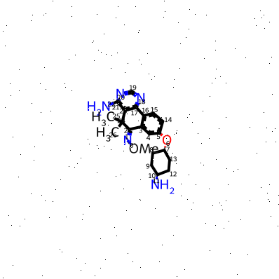 CO/N=C1\c2cc(O[C@H]3CC[C@H](N)CC3)ccc2-c2ncnc(N)c2C1(C)C